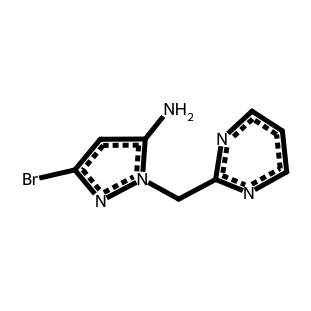 Nc1cc(Br)nn1Cc1ncccn1